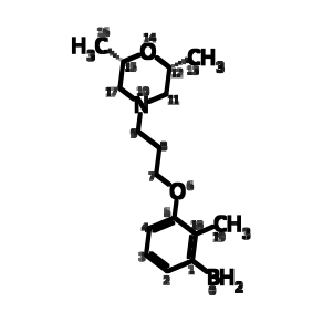 Bc1cccc(OCCCN2C[C@@H](C)O[C@@H](C)C2)c1C